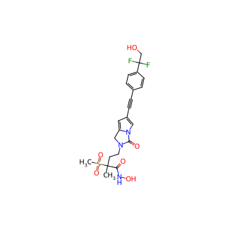 CC(CCN1Cc2cc(C#Cc3ccc(C(F)(F)CO)cc3)cn2C1=O)(C(=O)NO)S(C)(=O)=O